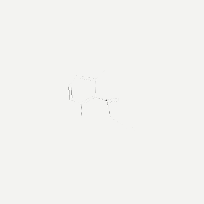 O=C(O)CC(=O)c1c(F)cccc1F